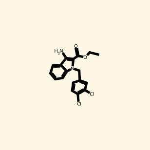 CCOC(=O)c1c(N)c2ccccc2n1Cc1ccc(Cl)c(Cl)c1